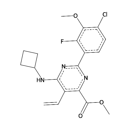 C=Cc1c(NC2CCC2)nc(-c2ccc(Cl)c(OC)c2F)nc1C(=O)OC